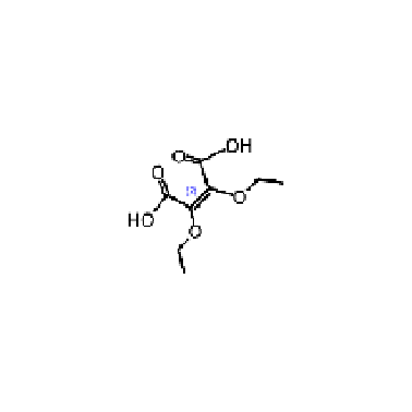 CCO/C(C(=O)O)=C(\OCC)C(=O)O